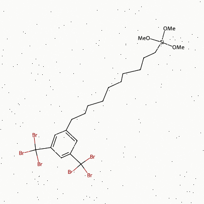 CO[Si](CCCCCCCCCCc1cc(C(Br)(Br)Br)cc(C(Br)(Br)Br)c1)(OC)OC